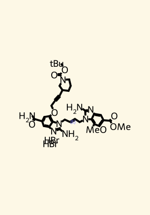 Br.Br.COC(=O)c1cc(OC)c2c(c1)nc(N)n2C/C=C/Cn1c(N)nc2cc(C(N)=O)cc(OCC#CC3CCCN(C(=O)OC(C)(C)C)C3)c21